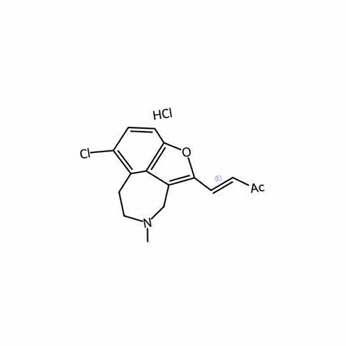 CC(=O)/C=C/c1oc2ccc(Cl)c3c2c1CN(C)CC3.Cl